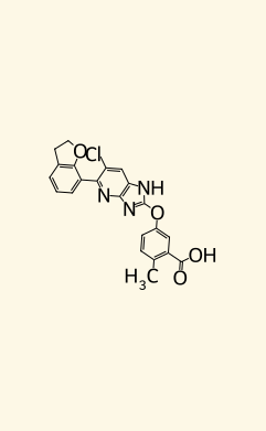 Cc1ccc(Oc2nc3nc(-c4cccc5c4OCC5)c(Cl)cc3[nH]2)cc1C(=O)O